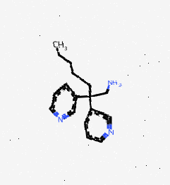 CCCCCC(CN)(c1cccnc1)c1cccnc1